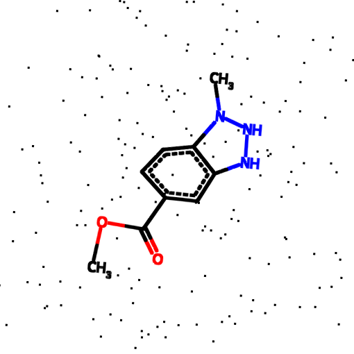 COC(=O)c1ccc2c(c1)NNN2C